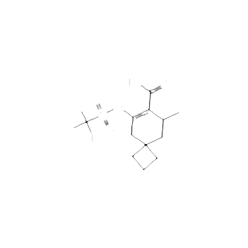 CC1CC2(CCC2)CC(OS(=O)(=O)C(F)(F)F)=C1C(=O)O